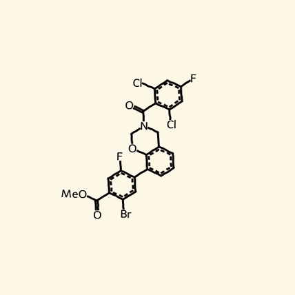 COC(=O)c1cc(F)c(-c2cccc3c2OCN(C(=O)c2c(Cl)cc(F)cc2Cl)C3)cc1Br